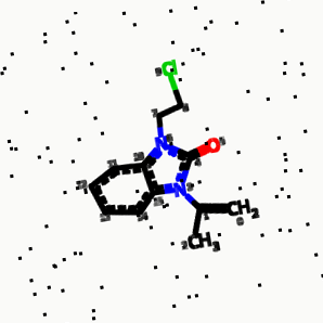 C=C(C)n1c(=O)n(CCCl)c2ccccc21